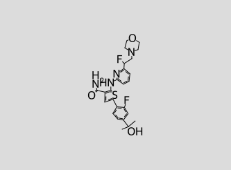 CC(C)(O)c1ccc(-c2cc(C(N)=O)c(Nc3cccc(C(F)CN4CCOCC4)n3)s2)c(F)c1